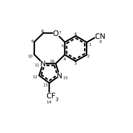 N#Cc1ccc2c(c1)OCCCn1cc(C(F)(F)F)nc1-2